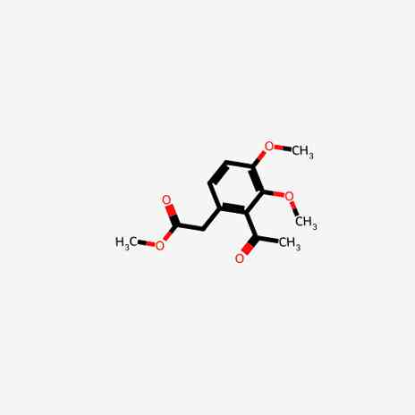 COC(=O)Cc1ccc(OC)c(OC)c1C(C)=O